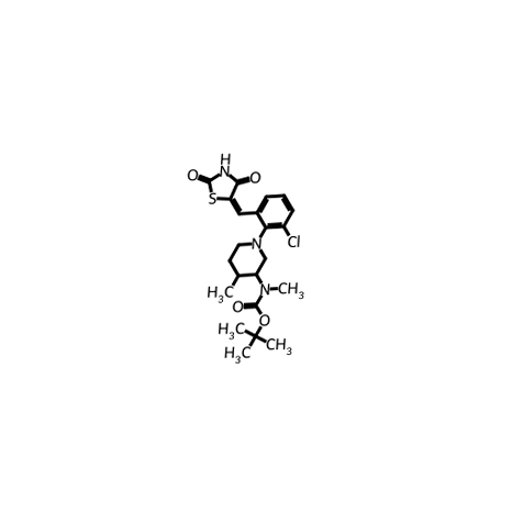 CC1CCN(c2c(Cl)cccc2C=C2SC(=O)NC2=O)CC1N(C)C(=O)OC(C)(C)C